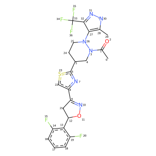 CC(=O)N1CC(c2nc(C3=NOC(c4c(F)cccc4F)C3)cs2)CCN1C1=C(C)[N]N=C1C(F)(F)F